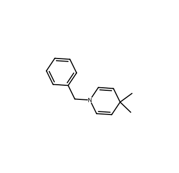 CC1(C)C=CN(Cc2ccccc2)C=C1